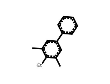 C[CH]c1c(C)cc(-c2ccccc2)cc1C